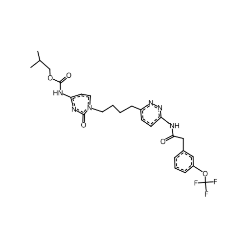 CC(C)COC(=O)Nc1ccn(CCCCc2ccc(NC(=O)Cc3cccc(OC(F)(F)F)c3)nn2)c(=O)n1